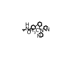 CC(c1ccccc1-c1ccc(C(=O)NC2CC2)cc1)N(c1cccnc1)c1cccnc1